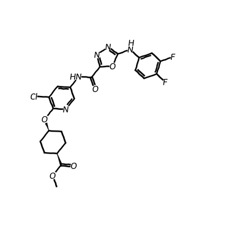 COC(=O)[C@H]1CC[C@@H](Oc2ncc(NC(=O)c3nnc(Nc4ccc(F)c(F)c4)o3)cc2Cl)CC1